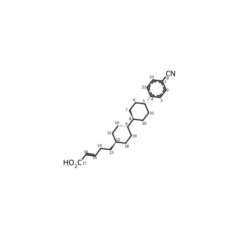 N#Cc1ccc([C@H]2CC[C@H]([C@H]3CC[C@H](CC/C=C/C(=O)O)CC3)CC2)cc1